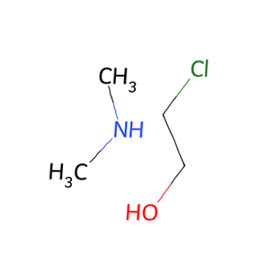 CNC.OCCCl